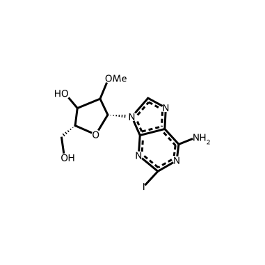 COC1C(O)[C@@H](CO)O[C@H]1n1cnc2c(N)nc(I)nc21